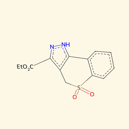 CCOC(=O)c1n[nH]c2c1CS(=O)(=O)c1ccccc1-2